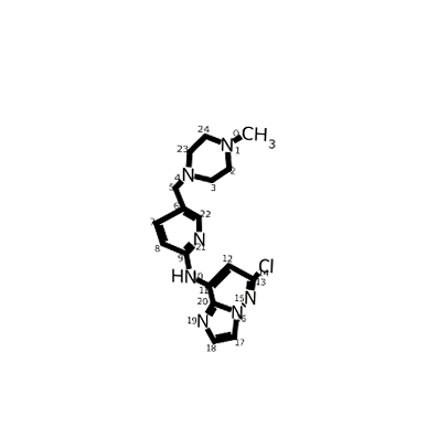 CN1CCN(Cc2ccc(Nc3cc(Cl)nn4ccnc34)nc2)CC1